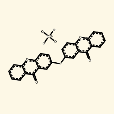 O=c1c2ccccc2oc2ccc([I+]c3ccc4oc5ccccc5c(=O)c4c3)cc12.[O-][Cl+3]([O-])([O-])[O-]